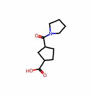 O=C(O)C1CCC(C(=O)N2CCCC2)C1